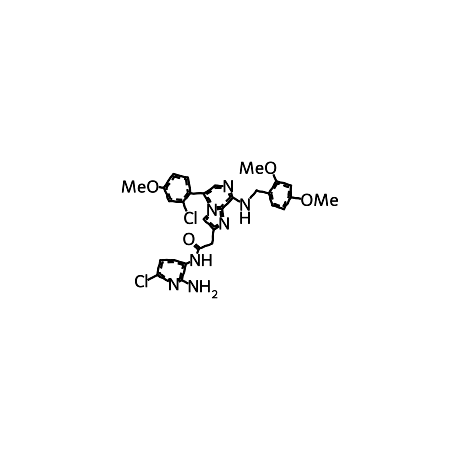 COc1ccc(-c2cnc(NCc3ccc(OC)cc3OC)c3nc(CC(=O)Nc4ccc(Cl)nc4N)cn23)c(Cl)c1